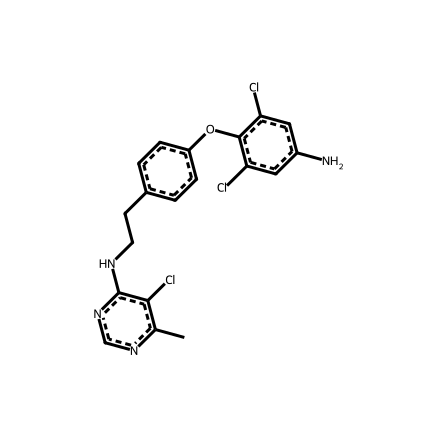 Cc1ncnc(NCCc2ccc(Oc3c(Cl)cc(N)cc3Cl)cc2)c1Cl